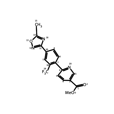 COC(=O)c1ccc(-c2ccc(-c3noc(C)n3)cc2C(F)(F)F)nc1